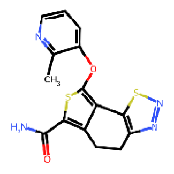 Cc1ncccc1Oc1sc(C(N)=O)c2c1-c1snnc1CC2